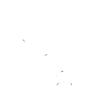 CC(C)CCC[C@@H](C)[C@H]1CC=C2C3=C(CC[C@@]21C)[C@@]1(C)CC[C@H](C(CC(=O)O)C(=O)O)C[C@@H]1CC3